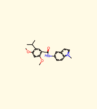 COc1cc(OC)c(C(C)C)cc1C(=O)Nc1ccc2c(ccn2C)c1